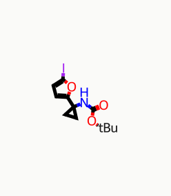 CC(C)(C)OC(=O)NC1(c2ccc(I)o2)CC1